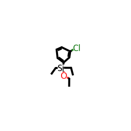 CCO[Si](CC)(CC)c1cccc(Cl)c1